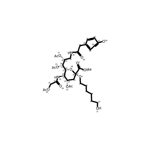 COC(=O)[C@@]1(OCCCCCCO)C[C@H](OC(C)=O)[C@@H](NC(=O)COC(C)=O)[C@H]([C@H](OC(C)=O)[C@@H](CNC(=O)Cc2ccc(Cl)cc2)OC(C)=O)O1